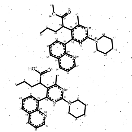 CCCC(C(=O)O)c1c(C)nc(N2CCCCC2)nc1-c1cccc2cccnc12.CCCC(C(=O)OC)c1c(C)nc(N2CCCCC2)nc1-c1cccc2cccnc12